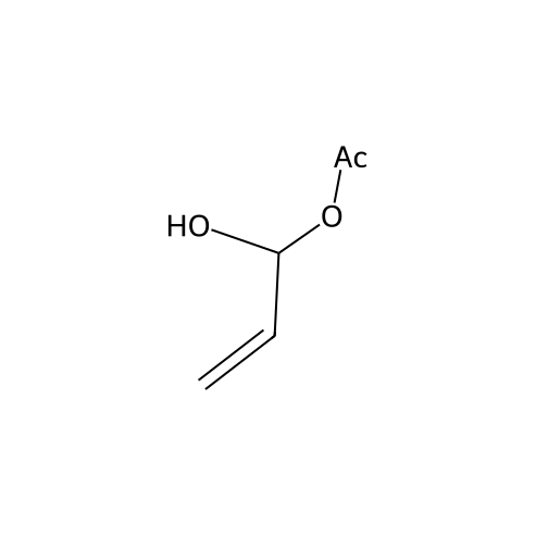 C=CC(O)OC(C)=O